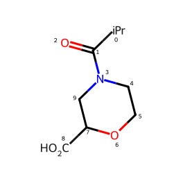 CC(C)C(=O)N1CCOC(C(=O)O)C1